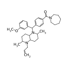 C=CCN1C(C)CCC2C1CCC(C)N2C(c1ccc(C(=O)N2CCCCCC2)cc1)c1cccc(OC)c1